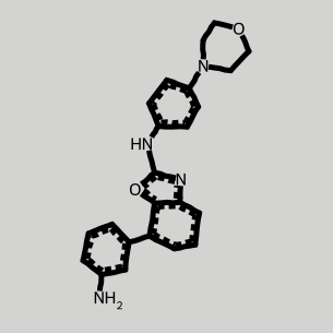 Nc1cccc(-c2cccc3nc(Nc4ccc(N5CCOCC5)cc4)oc23)c1